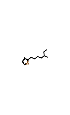 CCC(C)CCCCc1[c]ccs1